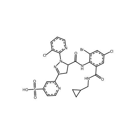 O=C(NCC1CC1)c1cc(Cl)cc(Br)c1NC(=O)C1CC(c2cc(S(=O)(=O)O)ccn2)=NN1c1ncccc1Cl